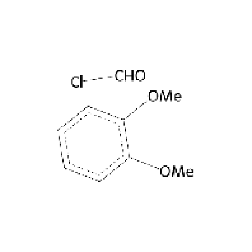 COc1ccccc1OC.O=CCl